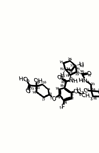 COc1cc(F)c(OC2CCC(O)(C(=O)O)CC2)cc1C(=O)N[C@@H]1[C@H]2CC[C@H](C2)[C@@H]1C(=O)NCC1(C)CCC1